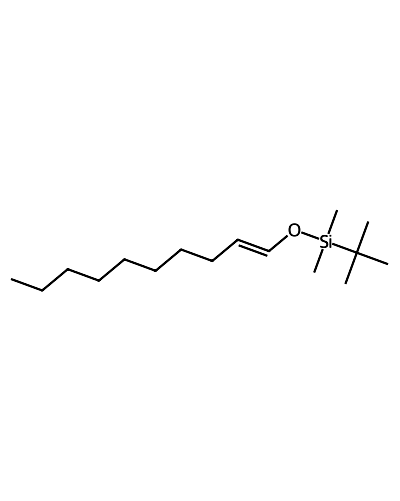 CCCCCCCC/C=C/O[Si](C)(C)C(C)(C)C